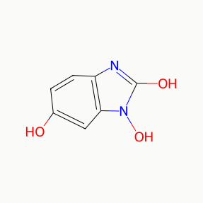 Oc1ccc2nc(O)n(O)c2c1